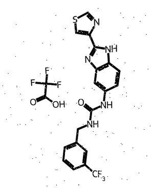 O=C(NCc1cccc(C(F)(F)F)c1)Nc1ccc2[nH]c(-c3cscn3)nc2c1.O=C(O)C(F)(F)F